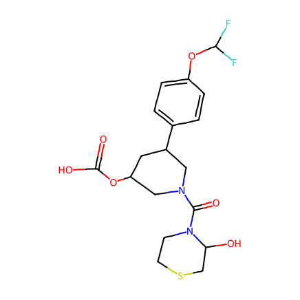 O=C(O)OC1CC(c2ccc(OC(F)F)cc2)CN(C(=O)N2CCSCC2O)C1